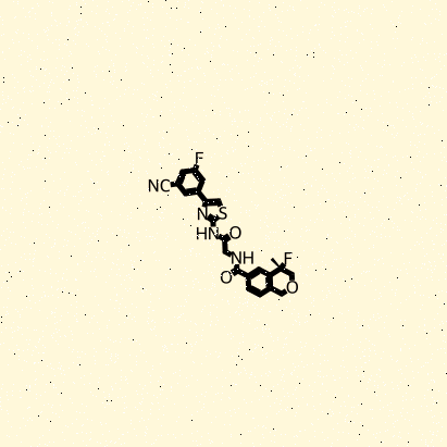 C[C@@]1(F)COCc2ccc(C(=O)NCC(=O)Nc3nc(-c4cc(F)cc(C#N)c4)cs3)cc21